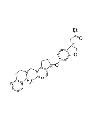 CCC(=O)C[C@@H]1COc2cc(O[C@@H]3CCc4c3ccc(C(F)(F)F)c4CN3CCc4ncccc4C3)ccc21